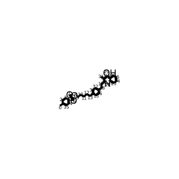 Cc1ccc(S(=O)(=O)OCCCCCc2ccc(CCc3nc4ccccc4c(O)c3C)cc2)cc1